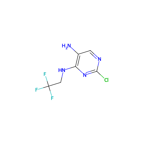 Nc1cnc(Cl)nc1NCC(F)(F)F